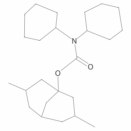 CC1CC2CC(C)CC(OC(=O)N(C3CCCCC3)C3CCCCC3)(C1)C2